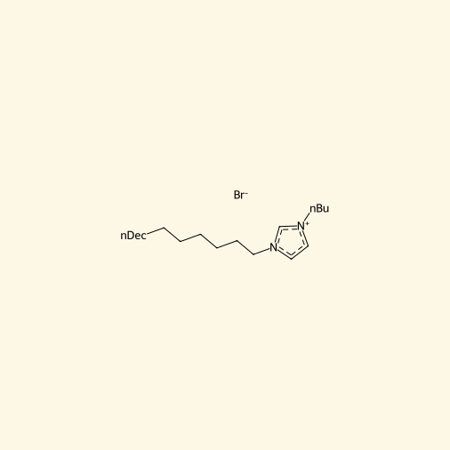 CCCCCCCCCCCCCCCCn1cc[n+](CCCC)c1.[Br-]